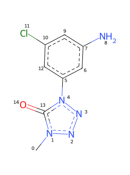 Cn1nnn(-c2cc(N)cc(Cl)c2)c1=O